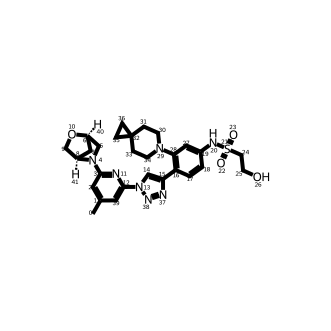 Cc1cc(N2C[C@H]3C[C@@H]2CO3)nc(-n2cc(-c3ccc(NS(=O)(=O)CCO)cc3N3CCC4(CC3)CC4)nn2)c1